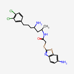 CC(CC(N)CCCc1ccc(Cl)c(Cl)c1)NC(=O)CSc1nc2ccc(N)cc2s1